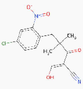 CC(C)(Cc1ccc(Cl)cc1[N+](=O)[O-])C(=O)C(C#N)=CO